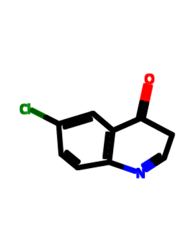 O=C1CC=Nc2ccc(Cl)cc21